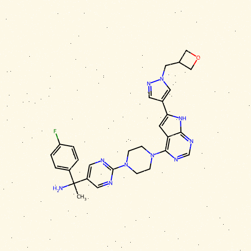 CC(N)(c1ccc(F)cc1)c1cnc(N2CCN(c3ncnc4[nH]c(-c5cnn(CC6COC6)c5)cc34)CC2)nc1